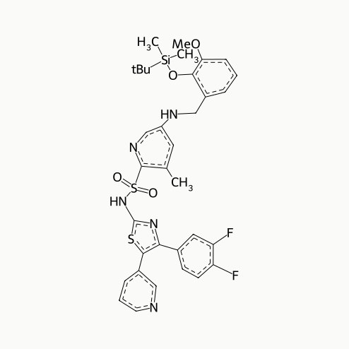 COc1cccc(CNc2cnc(S(=O)(=O)Nc3nc(-c4ccc(F)c(F)c4)c(-c4cccnc4)s3)c(C)c2)c1O[Si](C)(C)C(C)(C)C